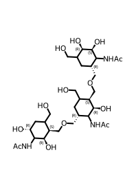 CC(=O)NC1[C@H](COC[C@@H]2C(CO)C[C@@H](COC[C@@H]3C(CO)C[C@@H](O)C(NC(C)=O)[C@@H]3O)C(NC(C)=O)[C@@H]2O)CC(CO)[C@@H](O)[C@H]1O